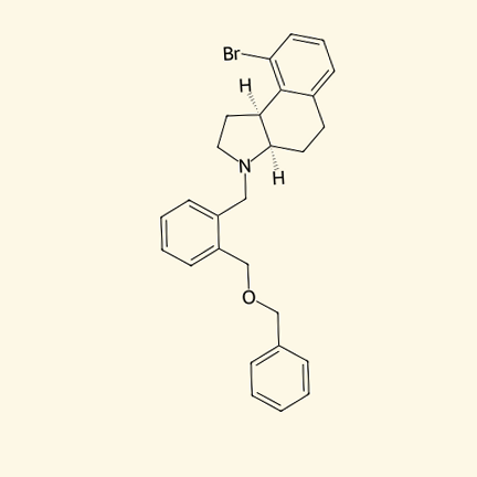 Brc1cccc2c1[C@@H]1CCN(Cc3ccccc3COCc3ccccc3)[C@@H]1CC2